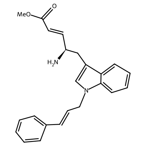 COC(=O)/C=C/[C@H](N)Cc1cn(C/C=C/c2ccccc2)c2ccccc12